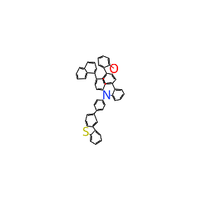 c1ccc(N(c2ccc(-c3ccc4sc5ccccc5c4c3)cc2)c2ccc(-c3cccc4ccccc34)cc2)c(-c2ccc3c(c2)oc2ccccc23)c1